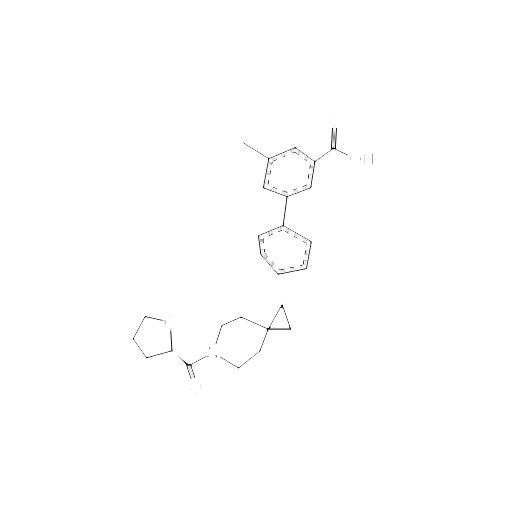 Cc1cc(C(=O)O)cc(-c2ccc([C@@H]3CC34CCN(C(=O)[C@H]3CCCO3)CC4)cc2)c1